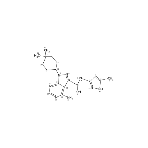 Cc1cc(NC(O)c2nn(C3CCC(C)(C)CC3)c3ncnc(N)c23)n[nH]1